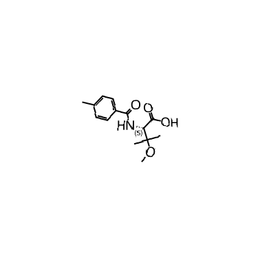 COC(C)(C)[C@H](NC(=O)c1ccc(C)cc1)C(=O)O